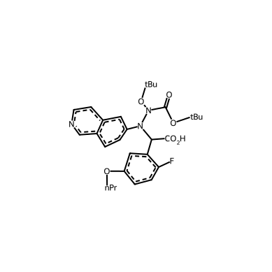 CCCOc1ccc(F)c(C(C(=O)O)N(c2ccc3cnccc3c2)N(OC(C)(C)C)C(=O)OC(C)(C)C)c1